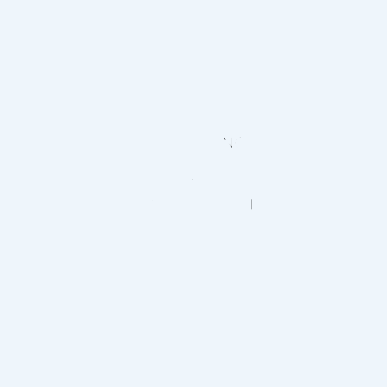 [C-]#[N+]Cc1c(F)cccc1F